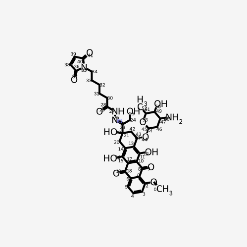 COc1cccc2c1C(=O)c1c(O)c3c(c(O)c1C2=O)CC(O)(/C(CO)=N/NC(=O)CCCCCN1C(=O)C=CC1=O)C[C@H]3O[C@@H]1CC(N)C(O)C(C)O1